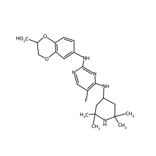 CC1(C)CC(Nc2nc(Nc3ccc4c(c3)OCC(C(=O)O)O4)ncc2F)CC(C)(C)N1